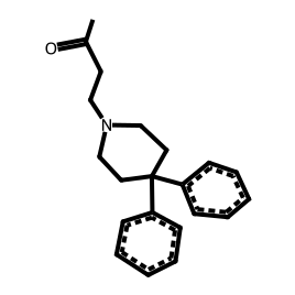 CC(=O)CCN1CCC(c2ccccc2)(c2ccccc2)CC1